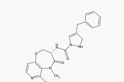 CN1C(=O)[C@@H](NC(=O)N2C=C(Cc3ccccc3)CN2)COc2ccnc(F)c21